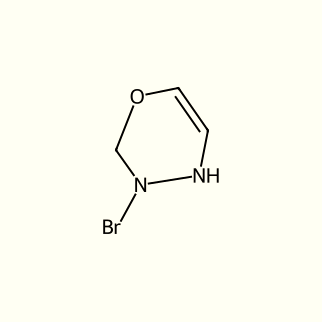 BrN1COC=CN1